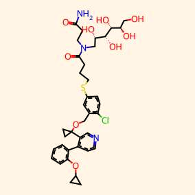 NC(=O)CCN(C[C@H](O)[C@@H](O)[C@H](O)[C@H](O)CO)C(=O)CCCSc1ccc(Cl)c(COC2(c3cnccc3-c3ccccc3OC3CC3)CC2)c1